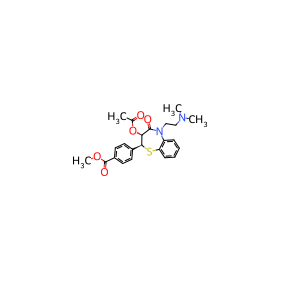 COC(=O)c1ccc([C@@H]2Sc3ccccc3N(CCN(C)C)C(=O)[C@@H]2OC(C)=O)cc1